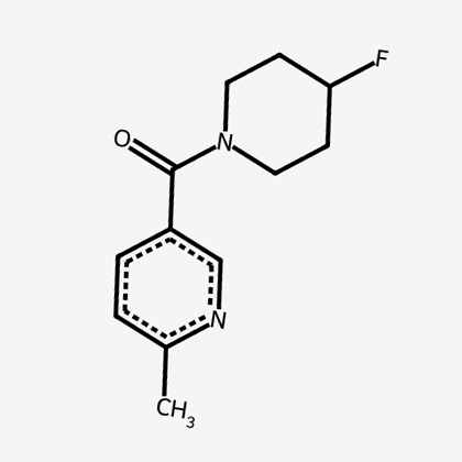 Cc1ccc(C(=O)N2CCC(F)CC2)cn1